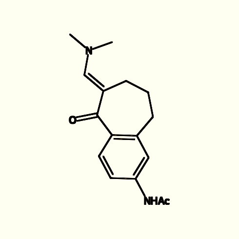 CC(=O)Nc1ccc2c(c1)CCCC(=CN(C)C)C2=O